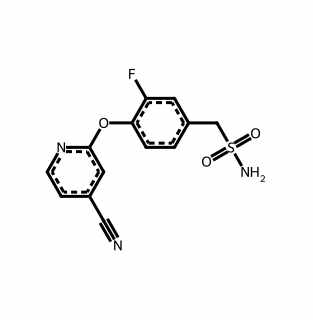 N#Cc1ccnc(Oc2ccc(CS(N)(=O)=O)cc2F)c1